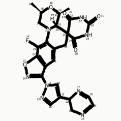 C[C@@H]1CN2c3c(cc4c(-n5cc(C6CN=CC=N6)cn5)noc4c3F)CC3(C(=O)NC(=O)NC3=O)[C@H]2[C@H](C)O1